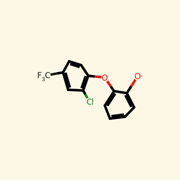 [O]c1ccccc1Oc1ccc(C(F)(F)F)cc1Cl